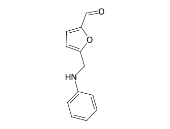 O=Cc1ccc(CNc2ccccc2)o1